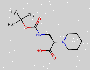 CC(C)(C)OC(=O)NC[C@H](C(=O)O)N1CCCCC1